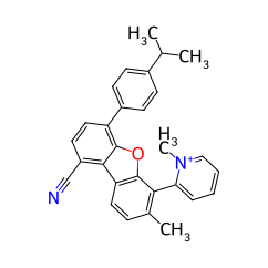 Cc1ccc2c(oc3c(-c4ccc(C(C)C)cc4)ccc(C#N)c32)c1-c1cccc[n+]1C